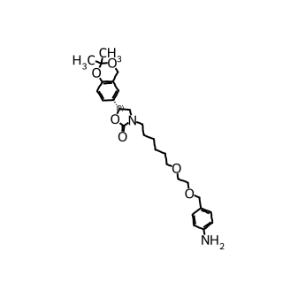 CC1(C)OCc2cc([C@@H]3CN(CCCCCCOCCOCc4ccc(N)cc4)C(=O)O3)ccc2O1